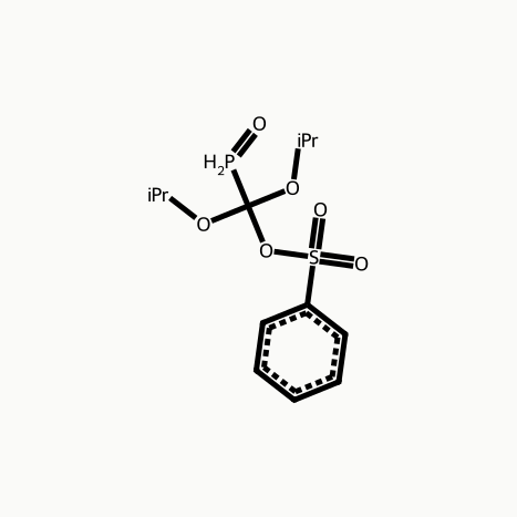 CC(C)OC(OC(C)C)(OS(=O)(=O)c1ccccc1)[PH2]=O